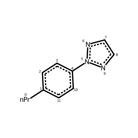 CCCc1ccc(-n2nccn2)cc1